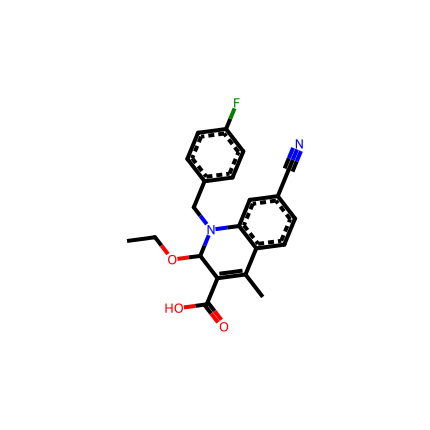 CCOC1C(C(=O)O)=C(C)c2ccc(C#N)cc2N1Cc1ccc(F)cc1